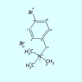 C[N+](C)(C)Cc1ccc(Br)cc1.[Br-]